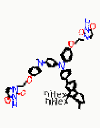 CCCCCCC1(CCCCCC)c2cc(C)ccc2-c2ccc(-c3ccc(N(c4ccc(OCCCn5ccc(=O)[nH]c5=O)cc4)c4ccc(N(C)c5ccc(OCCCn6ccc(=O)[nH]c6=O)cc5)cc4)cc3)cc21